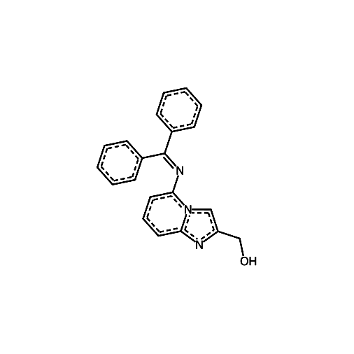 OCc1cn2c(N=C(c3ccccc3)c3ccccc3)cccc2n1